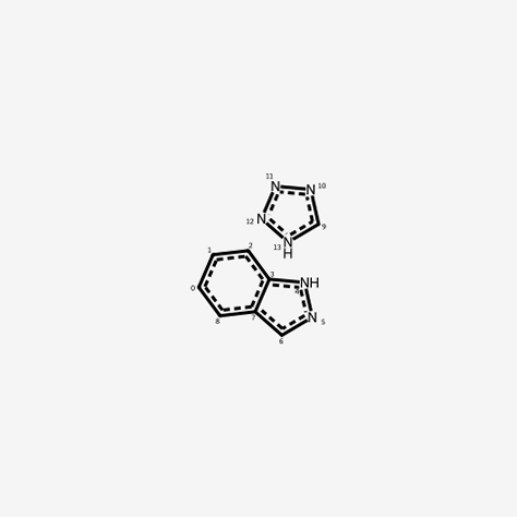 c1ccc2[nH]ncc2c1.c1nnn[nH]1